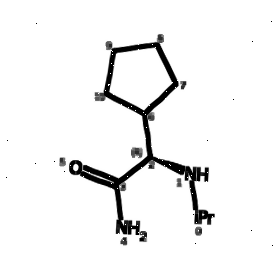 CC(C)N[C@@H](C(N)=O)C1CCCC1